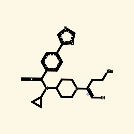 C=C=C(c1ccc(-c2cnco2)cc1)N(C1CC1)C1CCN(/C(=C/CC)CCC(C)(C)C)CC1